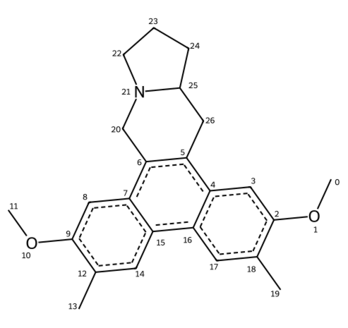 COc1cc2c3c(c4cc(OC)c(C)cc4c2cc1C)CN1CCCC1C3